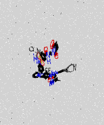 C[C@H]1CCC[N+](Cc2ccc(NS(=O)(=O)c3ccc(C(=O)NCCN4C(=O)C=CC4=O)cc3[N+](=O)[O-])cc2)(Cc2cc3c(c(C(F)(F)F)c2)CN(c2cc([C@]4(c5nncn5C)C[C@@H](C)C4)cc(NCCC#N)n2)C3=O)C1